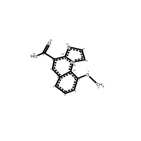 COc1cccc2cc(C(=O)O)c3nccn3c12